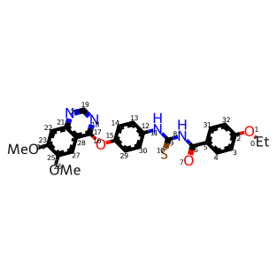 CCOc1ccc(C(=O)NC(=S)Nc2ccc(Oc3ncnc4cc(OC)c(OC)cc34)cc2)cc1